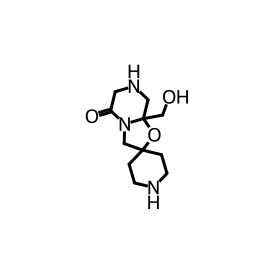 O=C1CNCC2(CO)OC3(CCNCC3)CN12